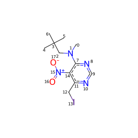 CN(CC(C)(C)C)c1ncnc(CI)c1[N+](=O)[O-]